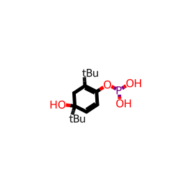 CC(C)(C)C1=C(OP(O)O)C=CC(O)(C(C)(C)C)C1